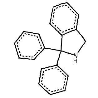 c1ccc(C2(c3ccccc3)NCc3ccccc32)cc1